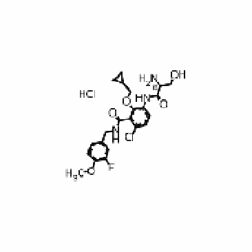 COc1ccc(CNC(=O)c2c(Cl)ccc(NC(=O)[C@@H](N)CO)c2OCC2CC2)cc1F.Cl